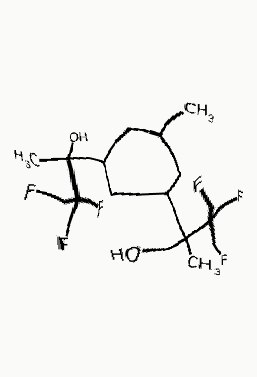 CC1CC(C(C)(O)C(F)(F)F)CC(C(C)(O)C(F)(F)F)C1